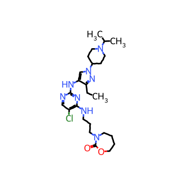 CCc1nn(C2CCN(C(C)C)CC2)cc1Nc1ncc(Cl)c(NCCCN2CCCCOC2=O)n1